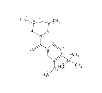 COc1cc(C(=O)N2CC(C)OC(C)C2)ccc1C(C)(C)C